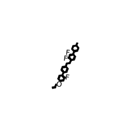 C=CCOc1ccc(-c2ccc(CCc3ccc(C4=CCC(C)CC4)c(F)c3F)cc2)c(F)c1